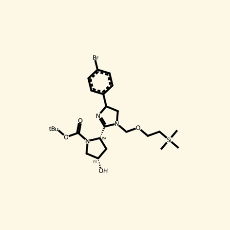 CC(C)(C)OC(=O)N1C[C@@H](O)C[C@H]1C1=NC(c2ccc(Br)cc2)CN1COCC[Si](C)(C)C